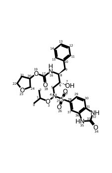 CC(C)ON(C[C@@H](O)[C@H](Cc1ccccc1)NC(=O)OC1CCOC1)S(=O)(=O)c1ccc2[nH]c(=O)[nH]c2c1